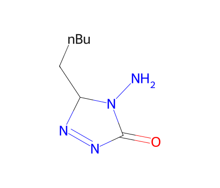 CCCCCC1N=NC(=O)N1N